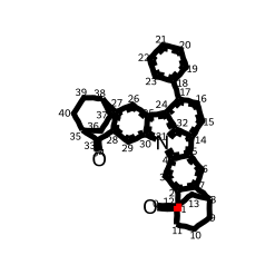 O=C1c2cc3c(cc2C2CCC1CC2)c1ccc(-c2ccccc2)c2c4cc5c(cc4n3c12)C(=O)C1CCC5CC1